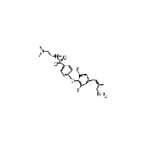 CC(=Cc1cc(F)c(Oc2ccc(S(=O)(=O)NCCN(C)C)cc2)c(F)c1)CN